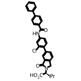 CC(C)[C@@H](C(=O)O)N1Cc2ccc(-c3ccc(NC(=O)c4ccc(-c5ccccc5)cc4)cc3Cl)cc2C1=O